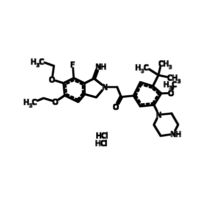 CCOc1cc2c(c(F)c1OCC)C(=N)N(CC(=O)c1cc(N3CCNCC3)c(OC)c(C(C)(C)C)c1)C2.Cl.Cl